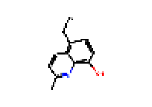 Cc1ccc2c(CC(C)C)ccc(O)c2n1